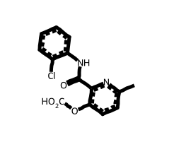 Cc1ccc(OC(=O)O)c(C(=O)Nc2ccccc2Cl)n1